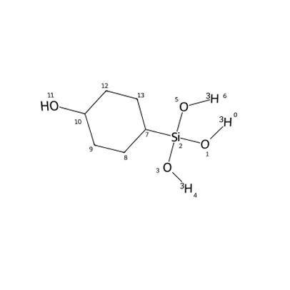 [3H]O[Si](O[3H])(O[3H])C1CCC(O)CC1